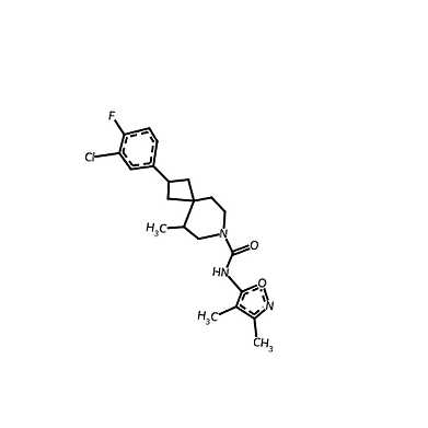 Cc1noc(NC(=O)N2CCC3(CC(c4ccc(F)c(Cl)c4)C3)C(C)C2)c1C